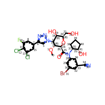 CO[C@@H]1[C@@H](n2cc(-c3cc(F)c(Cl)c(Cl)c3)nn2)[C@@H](O)[C@@H](CO)O[C@H]1C(=O)N(c1cc(Br)cc(C#N)c1)[C@H]1CCC[C@@H]1O